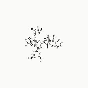 COCCN(C[C@H]1C[C@@H]1C)c1cc(C(=O)N[C@@H](Cc2ccccc2)[C@@H](N)CF)cc(N(C)S(=O)(=O)C(C)C)n1.O=C(O)C(F)(F)F